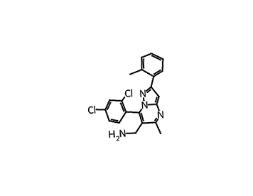 Cc1ccccc1-c1cc2nc(C)c(CN)c(-c3ccc(Cl)cc3Cl)n2n1